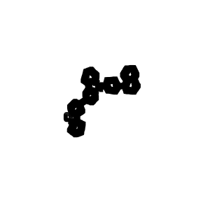 c1ccc2c(-c3ccc(-n4c5ccccc5c5cc(-c6ccc7oc8ccccc8c7c6)ccc54)cc3)cccc2c1